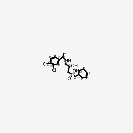 CC(NC[C@@H](O)CP(=O)(O)CC1CC=CCC1)c1ccc(Cl)c(Cl)c1